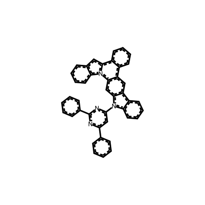 c1ccc(-c2cc(-n3c4ccccc4c4cc5c6ccccc6c6cc7ccccc7n6c5cc43)nc(-c3ccccc3)n2)cc1